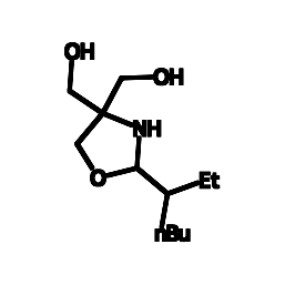 CCCCC(CC)C1NC(CO)(CO)CO1